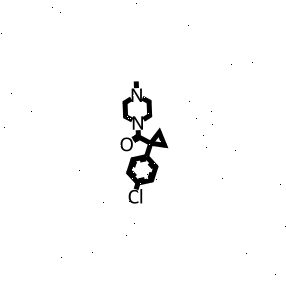 CN1CCN(C(=O)C2(c3ccc(Cl)cc3)CC2)CC1